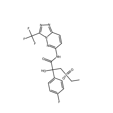 CCS(=O)(=O)CC(O)(C(=O)Nc1ccc2nnc(C(F)(F)F)n2n1)c1ccc(F)cc1